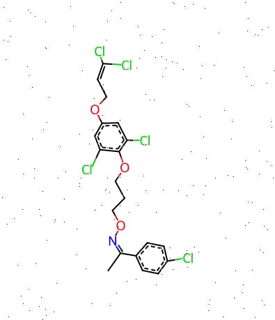 CC(=NOCCCOc1c(Cl)cc(OCC=C(Cl)Cl)cc1Cl)c1ccc(Cl)cc1